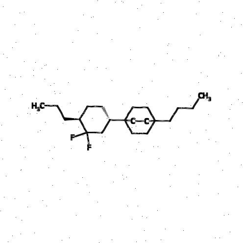 CCCCC12CCC([C@H]3CC[C@H](CCC)C(F)(F)C3)(CC1)CC2